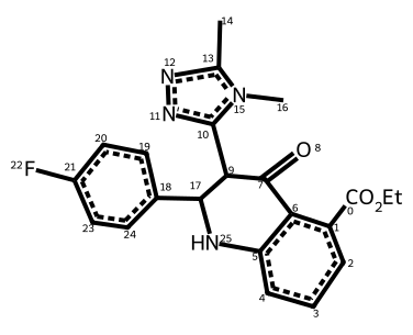 CCOC(=O)c1cccc2c1C(=O)C(c1nnc(C)n1C)C(c1ccc(F)cc1)N2